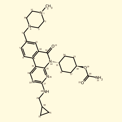 CN1CCN(Cc2ccc3c(c2)c(=O)n([C@H]2CC[C@H](OC(N)=O)CC2)c2nc(NCC4CC4)ncc32)CC1